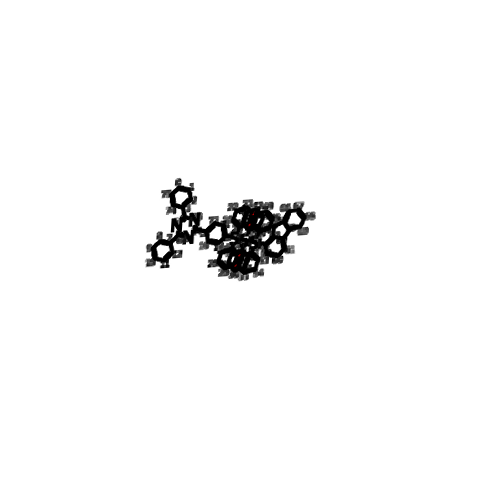 c1ccc(-c2nc(-c3ccccc3)nc(-c3ccc([Si](c4ccccc4)(c4ccccc4)[Si](c4ccccc4)(c4ccccc4)[Si](c4ccccc4)(c4ccccc4)c4cccc5c4Cc4ccccc4-5)cc3)n2)cc1